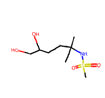 CC(C)([CH]CC(O)CO)NS(C)(=O)=O